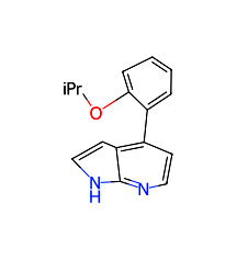 CC(C)Oc1ccccc1-c1ccnc2[nH]ccc12